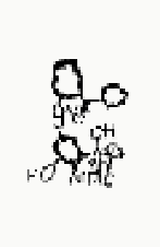 CC(=O)Nc1c(O)cc(Cl)cc1[As](=O)(O)O.COc1ccccc1C(=O)c1ccccc1